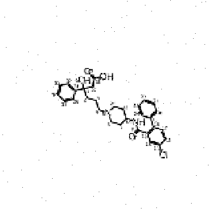 CC(CCCN1CCC(NC(=O)c2cc(Cl)ccc2-c2ccccc2)CC1)(CC(=O)O)c1ccccc1